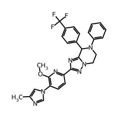 COc1nc(-c2nc3n(n2)CCN(c2ccccc2)C3c2ccc(C(F)(F)F)cc2)ccc1-n1cnc(C)c1